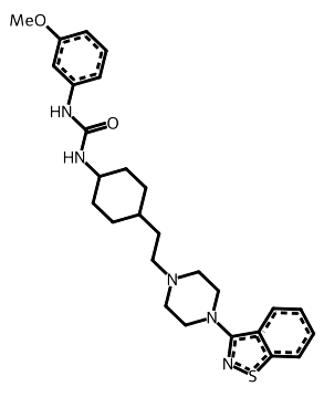 COc1cccc(NC(=O)NC2CCC(CCN3CCN(c4nsc5ccccc45)CC3)CC2)c1